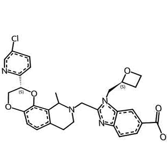 CC1c2c(ccc3c2O[C@@H](c2ccc(Cl)cn2)CO3)CCN1Cc1nc2ccc(C(=O)O)cc2n1C[C@@H]1CCO1